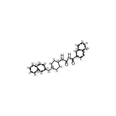 O=C(NC(=O)c1ccc2ncccc2c1)NC1CCN(Cc2ccc3ccccc3c2)CC1